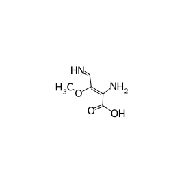 CO/C(C=N)=C(/N)C(=O)O